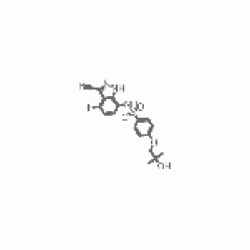 CC(C)(O)COc1ccc(S(=O)(=O)Nc2ccc(F)c3c(C#N)n[nH]c23)cc1